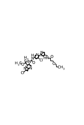 CCCOCCC(=O)NCc1cnn(-c2ncc(NC(=O)Nc3cnc4cc(Cl)nn4c3[C@H](C)OC)cc2Cl)c1